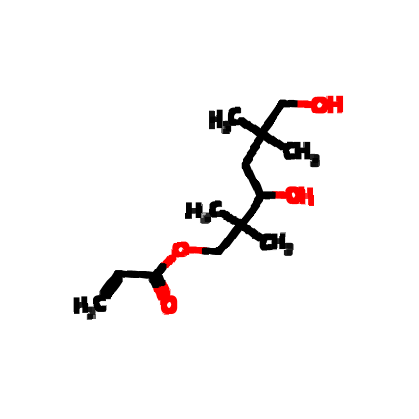 C=CC(=O)OCC(C)(C)C(O)CC(C)(C)CO